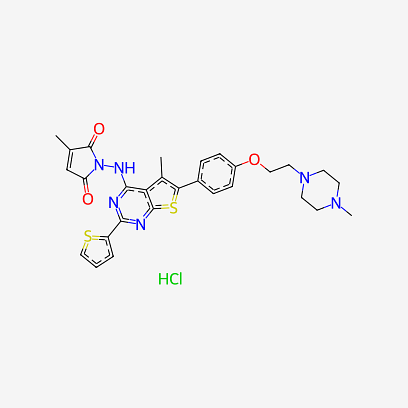 CC1=CC(=O)N(Nc2nc(-c3cccs3)nc3sc(-c4ccc(OCCN5CCN(C)CC5)cc4)c(C)c23)C1=O.Cl